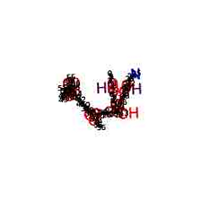 CCCOPOCCCOCC(CO)(COCCCOPOCCC#N)COCCCOP(OCCC)OCCCCCCO[C@@H]1OC(CC)[C@H](C)C(OC(C)=O)C1C